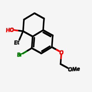 CCC1(O)CCCc2cc(OCOC)cc(Br)c21